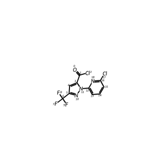 O=C(Cl)c1cc(C(F)(F)F)nn1-c1cccc(Cl)n1